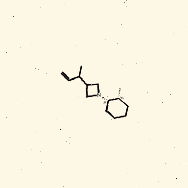 C=CC(C)C1CN([C@H]2CCCC[C@H]2C)C1